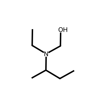 CCC(C)N(CC)CO